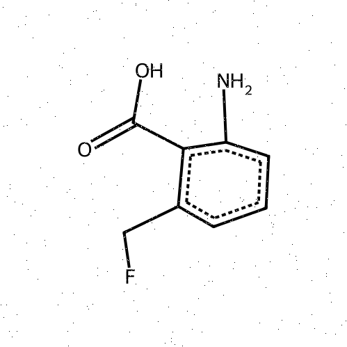 Nc1cccc(CF)c1C(=O)O